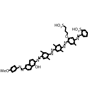 COc1ccc(N=Nc2ccc3c(O)c(N=Nc4cc(C)c(N=Nc5cc(C)c(N=Nc6cc(C)c(N=Nc7ccccc7S(=O)(=O)O)cc6OCCCS(=O)(=O)O)cc5C)cc4C)ccc3c2)cc1